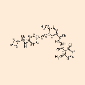 Cc1ccc(C(=O)NNC(=O)c2c(C)cccc2Cl)cc1C#Cc1ccc(NC(=O)C2CCC2)nc1